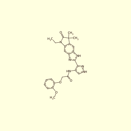 CCN1C(=O)C(C)(C)c2cc3[nH]c(-c4n[nH]cc4NC(=O)COc4ccccc4OC)nc3cc21